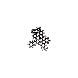 CC(C)(C)c1ccc(N2c3cc4c(cc3B3c5c(cc6ccccc6c52)-c2cccc5c2N3c2ccccc2C52c3ccccc3-c3ccccc32)Oc2ccccc2S4)c(-c2ccccc2)c1